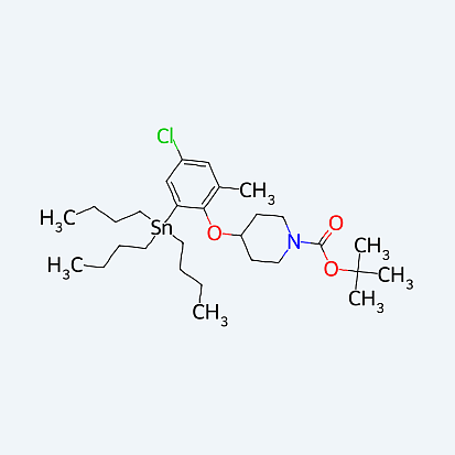 CCC[CH2][Sn]([CH2]CCC)([CH2]CCC)[c]1cc(Cl)cc(C)c1OC1CCN(C(=O)OC(C)(C)C)CC1